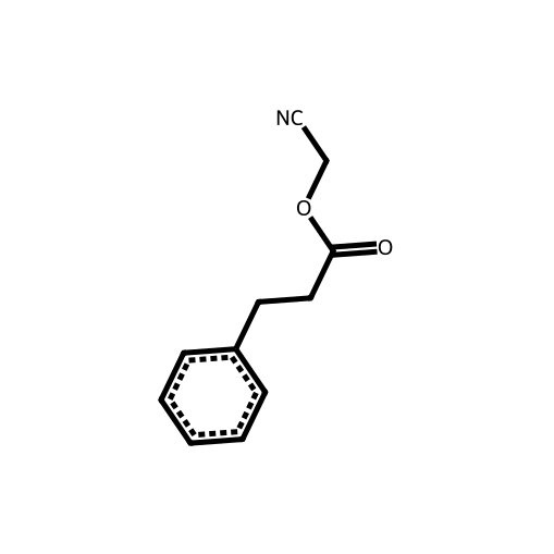 N#CCOC(=O)CCc1ccccc1